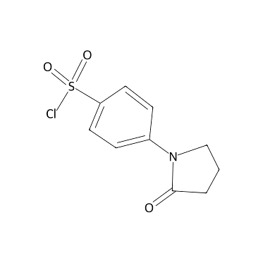 O=C1CCCN1c1ccc(S(=O)(=O)Cl)cc1